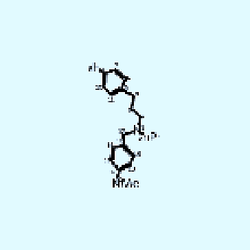 CCCN(CCCc1ccc(F)cc1)Cc1ccc(NC)cc1